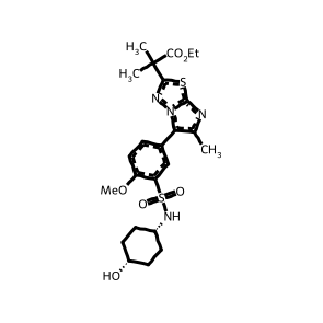 CCOC(=O)C(C)(C)c1nn2c(-c3ccc(OC)c(S(=O)(=O)N[C@H]4CC[C@@H](O)CC4)c3)c(C)nc2s1